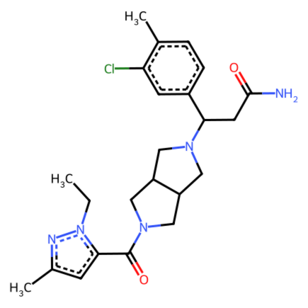 CCn1nc(C)cc1C(=O)N1CC2CN(C(CC(N)=O)c3ccc(C)c(Cl)c3)CC2C1